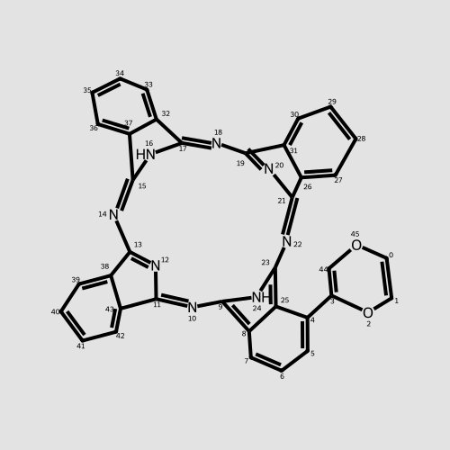 C1=COC(c2cccc3c4nc5nc(nc6[nH]c(nc7nc(nc([nH]4)c23)-c2ccccc2-7)c2ccccc62)-c2ccccc2-5)=CO1